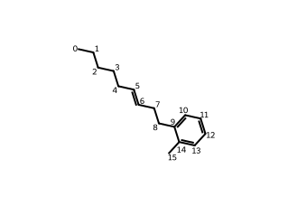 CCCCC/C=C/CCc1ccccc1C